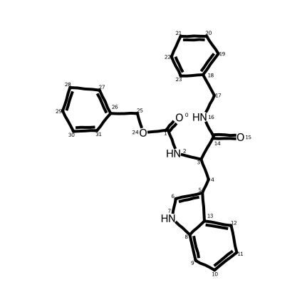 O=C(NC(Cc1c[nH]c2ccccc12)C(=O)NCc1ccccc1)OCc1ccccc1